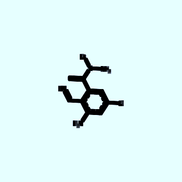 CCN(N)C(=O)c1cc(Cl)cc(N)c1C=N